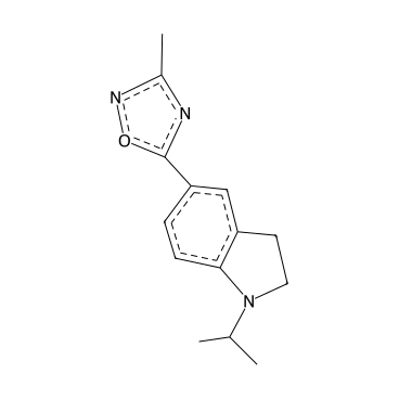 Cc1noc(-c2ccc3c(c2)CCN3C(C)C)n1